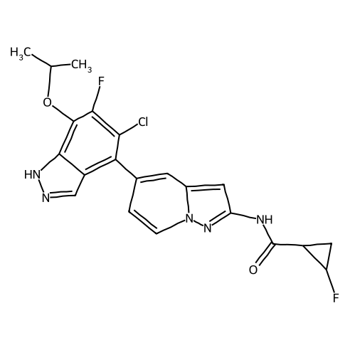 CC(C)Oc1c(F)c(Cl)c(-c2ccn3nc(NC(=O)C4CC4F)cc3c2)c2cn[nH]c12